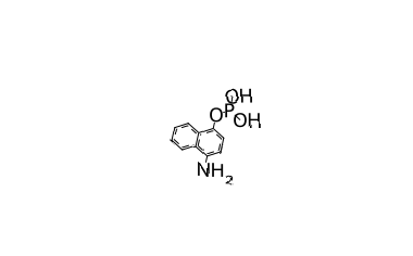 Nc1ccc(OP(O)O)c2ccccc12